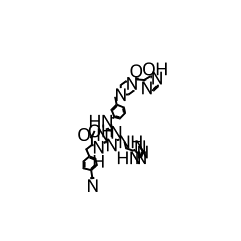 N#Cc1ccc(CC(Nc2nc(NCc3nnn[nH]3)nc(Nc3cccc(CN4CCN(C(=O)c5nccnc5O)CC4)c3)n2)C(=O)O)cc1